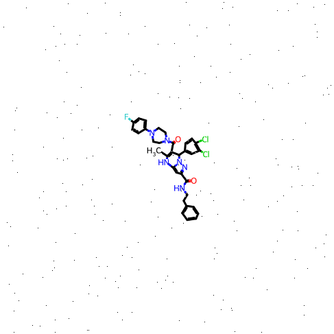 CC1=C(C(=O)N2CCN(c3ccc(F)cc3)CC2)C(c2ccc(Cl)c(Cl)c2)n2nc(C(=O)NCCc3ccccc3)cc2N1